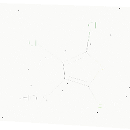 O=S(=O)(O)c1c(F)sc(Cl)c1Cl